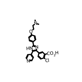 CN(C)CCOc1ccc(-c2nc(-c3ccc(Cl)c(C(=O)O)c3)c(-c3ccncc3)[nH]2)cc1